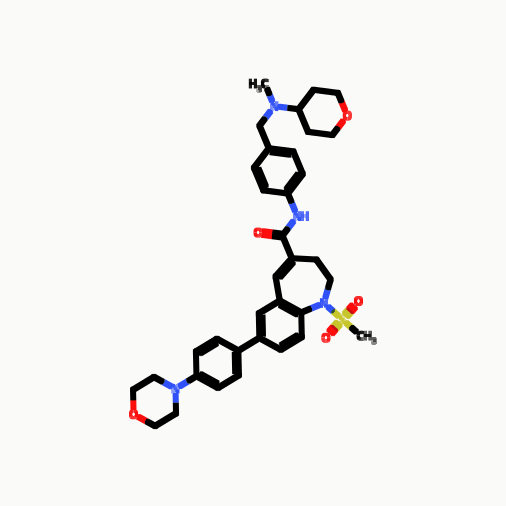 CN(Cc1ccc(NC(=O)C2=Cc3cc(-c4ccc(N5CCOCC5)cc4)ccc3N(S(C)(=O)=O)CC2)cc1)C1CCOCC1